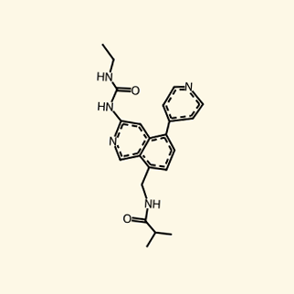 CCNC(=O)Nc1cc2c(-c3ccncc3)ccc(CNC(=O)C(C)C)c2cn1